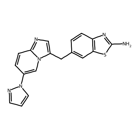 Nc1nc2ccc(Cc3cnc4ccc(-n5cccn5)cn34)cc2s1